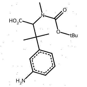 CN(C(=O)OC(C)(C)C)C(C(=O)O)C(C)(C)c1cccc(N)c1